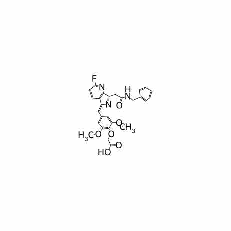 COc1cc(C=C2N=C(CC(=O)NCc3ccccc3)c3nc(F)ccc32)cc(OC)c1OCC(=O)O